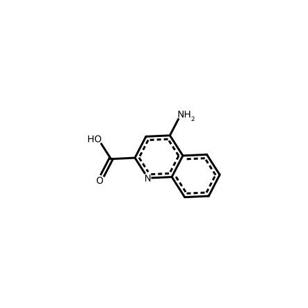 Nc1cc(C(=O)O)nc2ccccc12